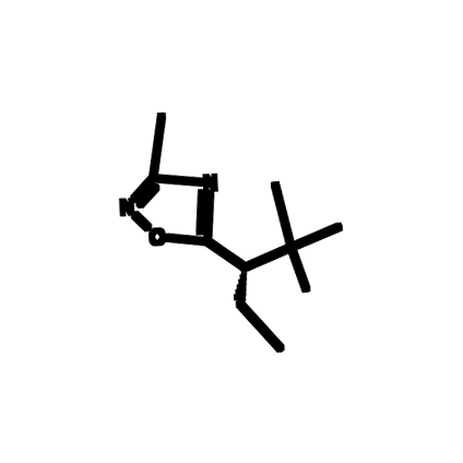 CC[C@H](c1nc(C)no1)C(C)(C)C